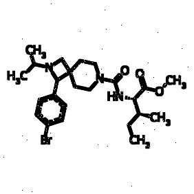 CC[C@H](C)[C@H](NC(=O)N1CCC2(CC1)CN(C(C)C)C2c1ccc(Br)cc1)C(=O)OC